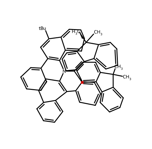 CC(C)(C)c1cc(-c2ccccc2)c(N(c2ccc3c(c2)-c2ccccc2C3(C)C)c2ccc3ccccc3c2-c2ccccc2-c2cccc3c2-c2ccccc2C3(C)C)c2ccccc12